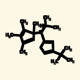 CC1=C[C](C)([Zr]([C]2=CC(C(C)(C)C)=CC2)[SiH](C)C)C(C)=C1C